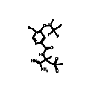 C[C@H](Oc1cc(C(=O)NC(C)(CS(C)(=O)=O)C(=N)N)ncc1Br)C(F)(F)F